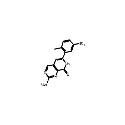 CSc1ncc2cc(-c3cc([N+](=O)[O-])ccc3C)[nH]c(=O)c2n1